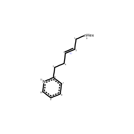 CCCCCCC/C=C/CCc1ccccn1